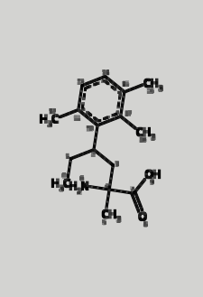 CCC(CC(C)(N)C(=O)O)c1c(C)ccc(C)c1C